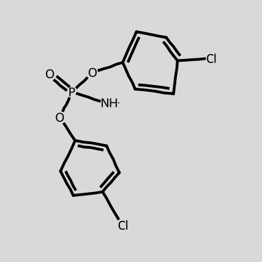 [NH]P(=O)(Oc1ccc(Cl)cc1)Oc1ccc(Cl)cc1